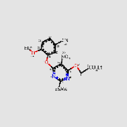 CCOC(=O)COc1nc(SC)nc(Oc2cc(C#N)ccc2OCC)c1[N+](=O)[O-]